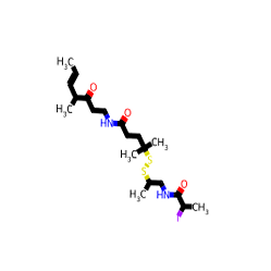 CC=CC(C)C(=O)CCNC(=O)CCC(C)(C)SSC(C)CNC(=O)C(C)I